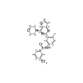 Cc1ccc(NC(=O)c2cccc(C(F)(F)F)c2)cc1-c1nc(N2CCOCC2)c2occc2n1